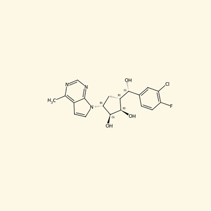 Cc1ncnc2c1ccn2[C@@H]1C[C@H]([C@H](O)c2ccc(F)c(Cl)c2)[C@@H](O)[C@H]1O